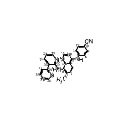 Cc1ccc2c(Nc3ccc(C#N)cc3)ncnc2c1Nc1ncccc1-c1ccncn1